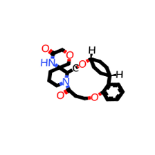 O=C1COCC2(CCCN3C(=O)CCOc4ccccc4[C@H]4CC[C@H](CC4)OCC32)N1